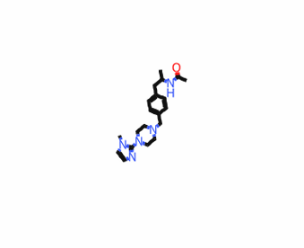 CC(=O)NC(C)Cc1ccc(CN2CCN(c3nccn3C)CC2)cc1